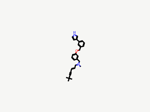 CN(C/C=C/C#CC(C)(C)C)Cc1cccc(OCc2cccc(-c3cc[nH]c3)c2)c1